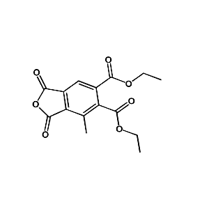 CCOC(=O)c1cc2c(c(C)c1C(=O)OCC)C(=O)OC2=O